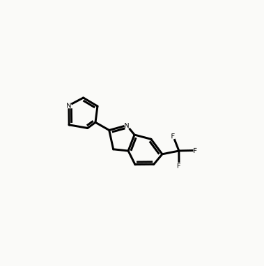 FC(F)(F)c1ccc2c(c1)N=C(c1ccncc1)C2